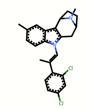 C/C(=C\n1c2c(c3cc(C)ccc31)C1CCC(C2)N1C)c1ccc(Cl)cc1Cl